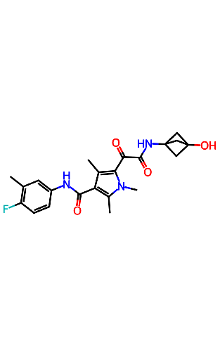 Cc1cc(NC(=O)c2c(C)c(C(=O)C(=O)NC34CC(O)(C3)C4)n(C)c2C)ccc1F